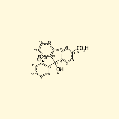 O=C(O)c1ccc(C(O)(c2ccccc2)c2ccccc2Cl)cc1